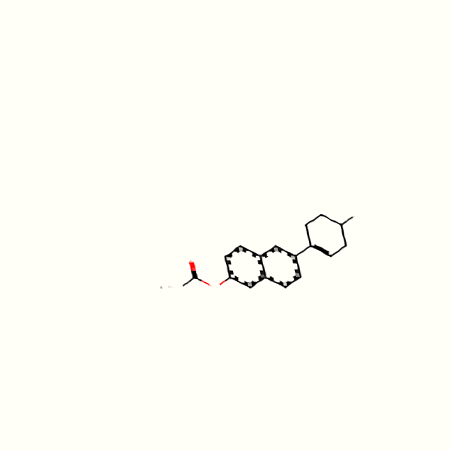 CCCCCC(=O)Oc1ccc2cc(C3=CCC(CC)CC3)ccc2c1